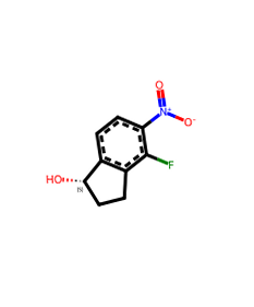 O=[N+]([O-])c1ccc2c(c1F)CC[C@@H]2O